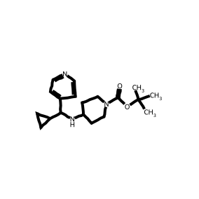 CC(C)(C)OC(=O)N1CCC(NC(c2ccncc2)C2CC2)CC1